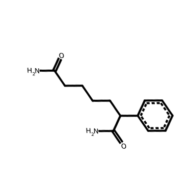 NC(=O)CCCCC(C(N)=O)c1ccccc1